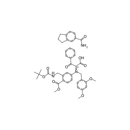 COC(=O)c1ccc(N(Cc2ccc(OC)cc2OC)[C@H](C(=O)O)C(=O)c2ccccc2)cc1CNC(=O)OC(C)(C)C.NC(=O)c1ccc2c(c1)CCC2